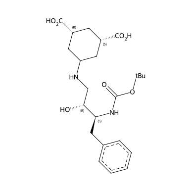 CC(C)(C)OC(=O)N[C@@H](Cc1ccccc1)[C@H](O)CNC1C[C@@H](C(=O)O)C[C@@H](C(=O)O)C1